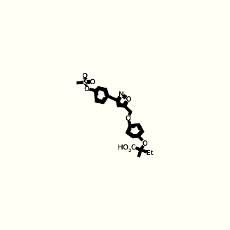 CCC(C)(Oc1ccc(OCc2cc(-c3ccc(OS(C)(=O)=O)cc3)no2)cc1)C(=O)O